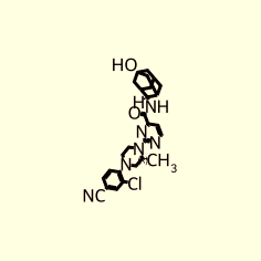 C[C@@H]1CN(c2ccc(C#N)cc2Cl)CCN1c1nccc(C(=O)N[C@H]2C3CC4CC2C[C@](O)(C4)C3)n1